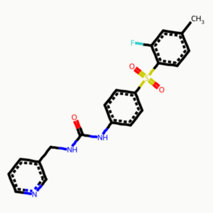 Cc1ccc(S(=O)(=O)c2ccc(NC(=O)NCc3cccnc3)cc2)c(F)c1